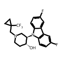 O[C@@H]1CCN(CC2(C(F)(F)F)CC2)C[C@H]1n1c2ccc(F)cc2c2cc(F)ccc21